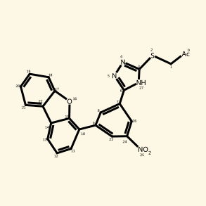 CC(=O)CSc1nnc(-c2cc(-c3cccc4c3oc3ccccc34)cc([N+](=O)[O-])c2)[nH]1